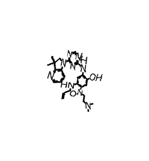 C=CC(=O)Nc1cc(Nc2ncnc(N3CC(C)(C)c4ncccc43)n2)c(O)cc1N(C)CCN(C)C